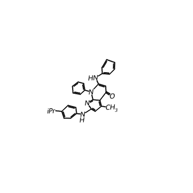 Cc1cc(Nc2ccc(C(C)C)cc2)nc2c1c(=O)cc(Nc1ccccc1)n2-c1ccccc1